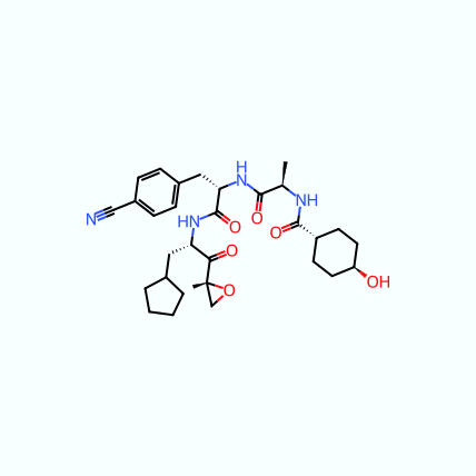 C[C@@H](NC(=O)[C@H]1CC[C@H](O)CC1)C(=O)N[C@@H](Cc1ccc(C#N)cc1)C(=O)N[C@@H](CC1CCCC1)C(=O)[C@@]1(C)CO1